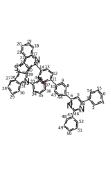 c1ccc(-c2cc(-c3ccc(-c4ccc(-c5nc6ccccc6c6sc7c8ccccc8n(-c8ccccc8)c7c56)cc4)cc3)nc(-c3ccccc3)n2)cc1